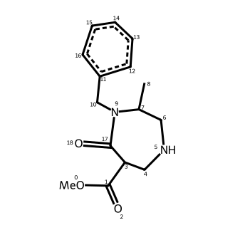 COC(=O)C1CNCC(C)N(Cc2ccccc2)C1=O